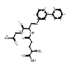 NC(CCC(=O)NC(CSc1ccnc(-c2ccccn2)c1)C(=O)NCC(=O)O)C(=O)O